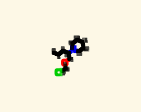 CCCC(COCCl)N1CCCCC1